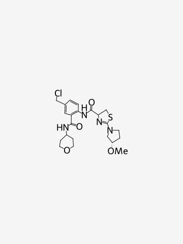 CO[C@H]1CCN(C2=NC(C(=O)Nc3ccc(CCl)cc3C(=O)NC3CCOCC3)CS2)C1